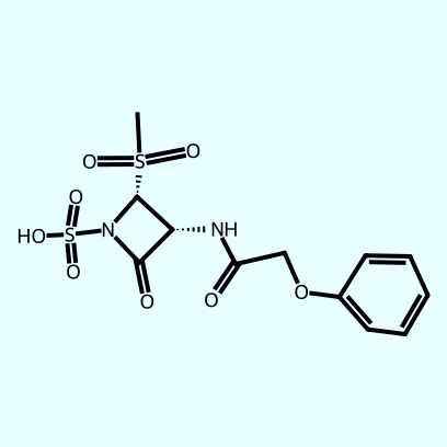 CS(=O)(=O)[C@@H]1[C@H](NC(=O)COc2ccccc2)C(=O)N1S(=O)(=O)O